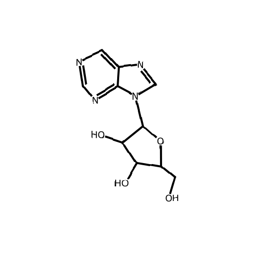 OCC1OC(n2cnc3cncnc32)C(O)C1O